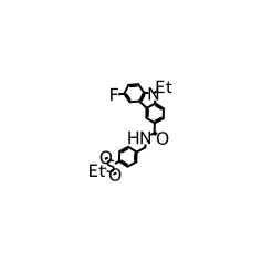 CCn1c2ccc(F)cc2c2cc(C(=O)NCc3ccc(S(=O)(=O)CC)cc3)ccc21